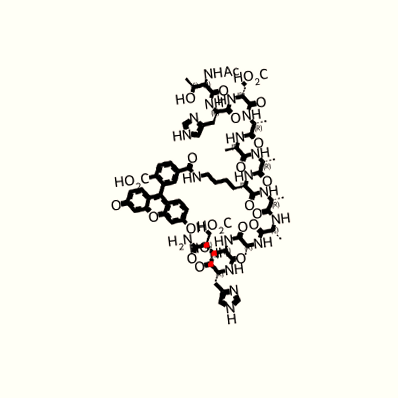 CC(=O)N[C@@H](C(=O)N[C@H](Cc1c[nH]cn1)C(=O)N[C@H](CC(=O)O)C(=O)N[C@H](C)C(=O)N[C@H](C)C(=O)N[C@H](C)C(=O)N[C@H](CCCCNC(=O)c1ccc(C(=O)O)c(-c2c3ccc(=O)cc-3oc3cc(O)ccc23)c1)C(=O)N[C@H](C)C(=O)N[C@H](C)C(=O)N[C@H](C)C(=O)N[C@@H](C(=O)N[C@H](Cc1c[nH]cn1)C(=O)N[C@H](CC(=O)O)C(N)=O)[C@H](C)O)[C@H](C)O